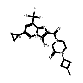 C[C@H]1C[C@@H](N2CCN(C(=O)c3nc4c(C(F)(F)F)cc(C5CC5)cn4c3N)CC2=O)C1